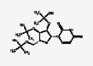 CC(C)(C)[Si](C)(C)OC[C@H]1O[C@@H](n2ccc(=O)[nH]c2=O)[C@H](O[Si](C)(C)C(C)(C)C)[C@@H]1O[Si](C)(C)C(C)(C)C